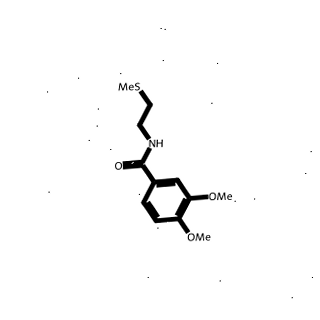 COc1ccc(C(=O)NCCSC)cc1OC